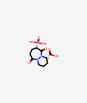 O=C(O)[C@@H]1CCCN2C(=O)CC[C@H](P(=O)(O)O)C(=O)N12